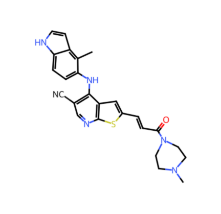 Cc1c(Nc2c(C#N)cnc3sc(/C=C/C(=O)N4CCN(C)CC4)cc23)ccc2[nH]ccc12